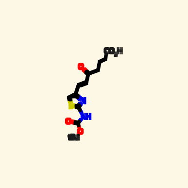 CC(C)(C)OC(=O)Nc1nc(/C=C/C(=O)CCCC(=O)O)cs1